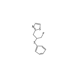 FCC(Cc1n[c]cs1)Sc1ccccc1